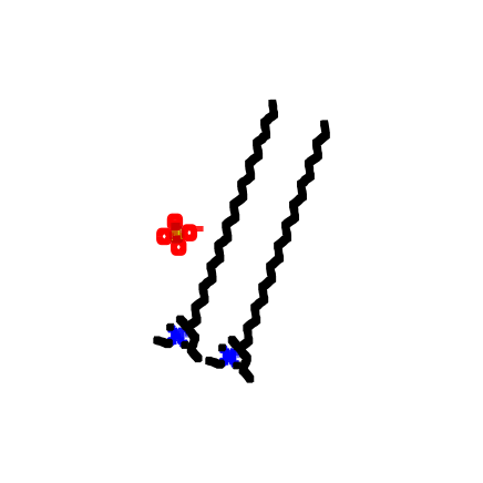 CCCCCCCCCCCCCCCCCCCCCCC(C)(CCC)[N+](C)(C)CC.CCCCCCCCCCCCCCCCCCCCCCC(C)(CCC)[N+](C)(C)CC.O=S(=O)([O-])[O-]